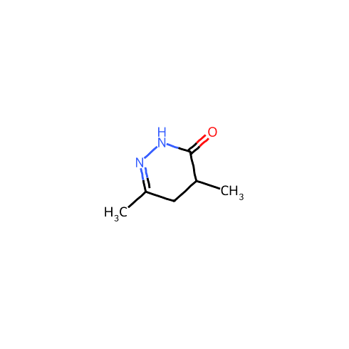 CC1=NNC(=O)C(C)C1